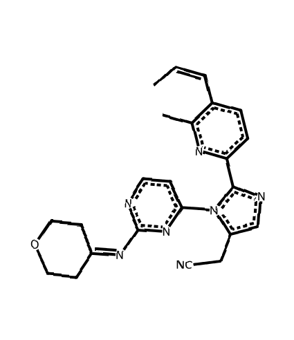 C/C=C\c1ccc(-c2ncc(CC#N)n2-c2ccnc(N=C3CCOCC3)n2)nc1C